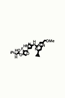 COCc1cn2c(Nc3cc([C@@H]4OC[C@H](OC(O)NC(C)C)[C@H]4F)[nH]n3)nc(C3CC3)cc2n1